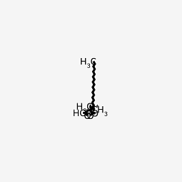 CCCCCCCCCCCCCCCCCC[N+](C)(C)C(CC(=O)O)C(=O)[O-]